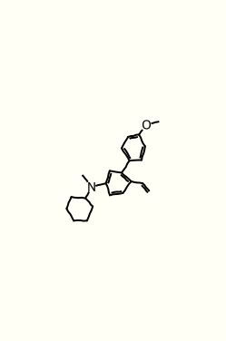 C=Cc1ccc(N(C)C2CCCCC2)cc1-c1ccc(OC)cc1